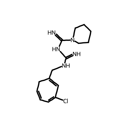 N=C(NCC1=CC(Cl)=CC=CC1)NC(=N)N1CCCCC1